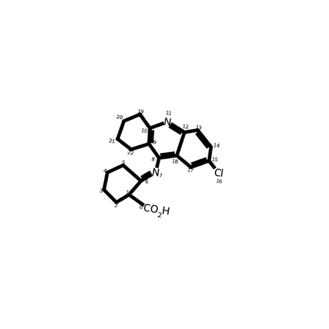 O=C(O)C1CCCCC1=Nc1c2c(nc3ccc(Cl)cc13)CCCC2